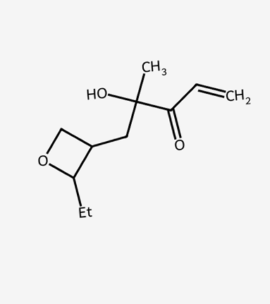 C=CC(=O)C(C)(O)CC1COC1CC